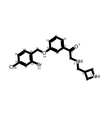 O=C(CNCC1CNC1)c1cccc(OCc2ccc(Cl)cc2Br)c1